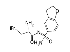 CC(C)C[C@H](N)C(=O)N=S(N)(=O)c1ccc2c(c1)CCO2